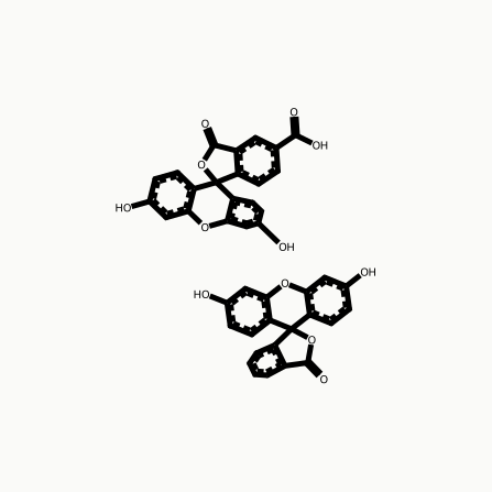 O=C(O)c1ccc2c(c1)C(=O)OC21c2ccc(O)cc2Oc2cc(O)ccc21.O=C1OC2(c3ccc(O)cc3Oc3cc(O)ccc32)c2ccccc21